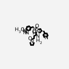 Cn1nnc2cc(CNC(=O)[C@@H]3C[C@@H](Cc4ccncc4)CN3C(=O)[C@H](N)CCC(=O)N3CCCC3)ccc21